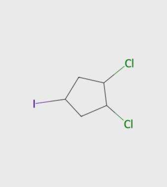 ClC1CC(I)CC1Cl